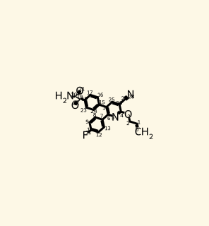 C=CCOc1nc(-c2ccc(F)cc2)c(-c2ccc(S(N)(=O)=O)cc2)cc1C#N